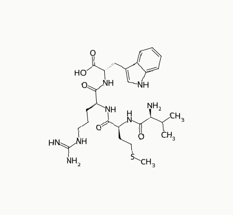 CSCC[C@H](NC(=O)[C@@H](N)C(C)C)C(=O)N[C@@H](CCCNC(=N)N)C(=O)N[C@@H](Cc1c[nH]c2ccccc12)C(=O)O